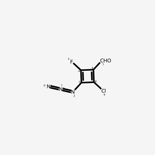 [N-]=[N+]=NC1=C(F)C(C=O)=C1Cl